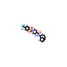 O=C(NC1CCC2CC3CC2CC1C3)C1CCN(S(=O)(=O)c2ccc(C(F)(F)F)cc2)CC1